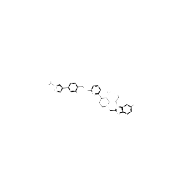 COCCn1c(CN2CCC(c3cccc(OCc4ccc(-c5cnn(C(F)F)c5)cc4F)n3)CC2)nc2ccc(C(=O)O)cc21